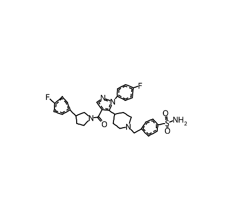 NS(=O)(=O)c1ccc(CN2CCC(c3c(C(=O)N4CCC(c5ccc(F)cc5)C4)cnn3-c3ccc(F)cc3)CC2)cc1